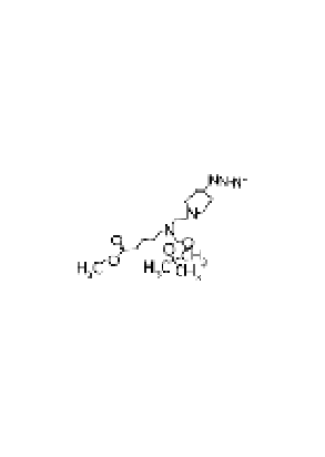 CCOC(=O)CCCCN(CCN1CCC(N=[N+]=[N-])CC1)C(=O)OC(C)(C)C